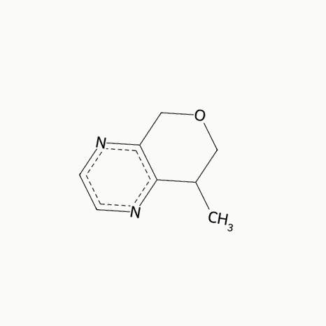 CC1COCc2nccnc21